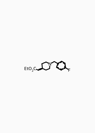 CCOC(=O)C=C1CCN(Cc2ccc(F)cc2)CC1